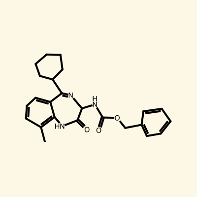 Cc1cccc2c1NC(=O)C(NC(=O)OCc1ccccc1)N=C2C1CCCCC1